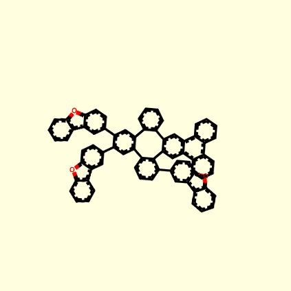 c1ccc2c(c1)-c1cc(-c3ccc4oc5ccccc5c4c3)c(-c3ccc4oc5ccccc5c4c3)cc1-c1cccc(-c3ccc4oc5ccccc5c4c3)c1-c1cc3c4ccccc4c4ccccc4c3cc1-2